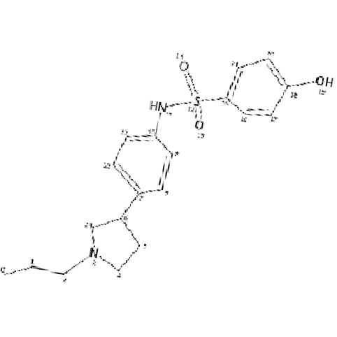 CCCN1CCC(c2ccc(NS(=O)(=O)c3ccc(O)cc3)cc2)C1